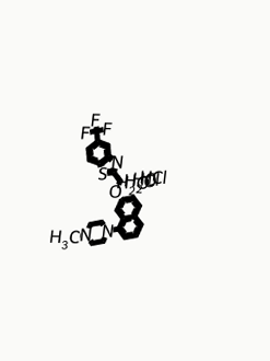 CN1CCN(c2cccc3ccc(OCc4nc5cc(C(F)(F)F)ccc5s4)cc23)CC1.Cl.Cl.O.O